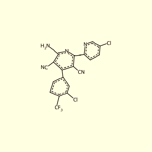 N#Cc1c(N)nc(-c2ccc(Cl)cn2)c(C#N)c1-c1ccc(C(F)(F)F)c(Cl)c1